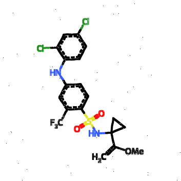 C=C(OC)C1(NS(=O)(=O)c2ccc(Nc3ccc(Cl)cc3Cl)cc2C(F)(F)F)CC1